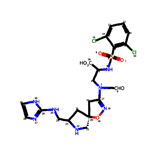 O=CN(CC(NS(=O)(=O)c1c(Cl)cccc1Cl)C(=O)O)C1=NO[C@]2(CNC(CNc3ncc[nH]3)C2)C1